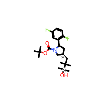 CC(C)(C)OC(=O)N1C[C@H](CC(C)(C)[Si](C)(C)O)CC1c1cc(F)ccc1F